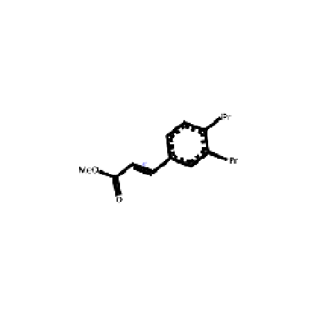 COC(=O)/C=C/c1ccc(C(C)C)c(C(C)C)c1